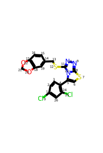 Clc1ccc(-c2csc3nnc(SCc4ccc5c(c4)OCO5)n23)c(Cl)c1